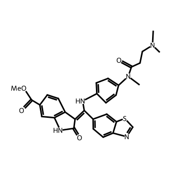 COC(=O)c1ccc2c(c1)NC(=O)C2=C(Nc1ccc(N(C)C(=O)CCN(C)C)cc1)c1ccc2ncsc2c1